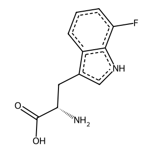 N[C@@H](Cc1c[nH]c2c(F)cccc12)C(=O)O